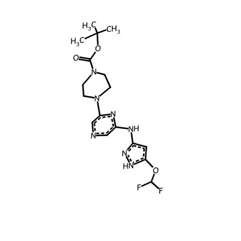 CC(C)(C)OC(=O)N1CCN(c2cncc(Nc3cc(OC(F)F)[nH]n3)n2)CC1